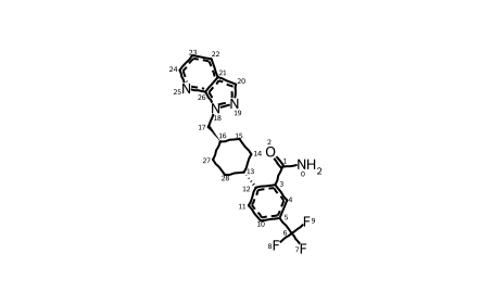 NC(=O)c1cc(C(F)(F)F)ccc1[C@H]1CC[C@H](Cn2ncc3cccnc32)CC1